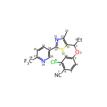 CCC(Oc1ccc(C#N)c(Cl)c1)c1sc(-c2ccc(C(F)(F)F)nc2)nc1C